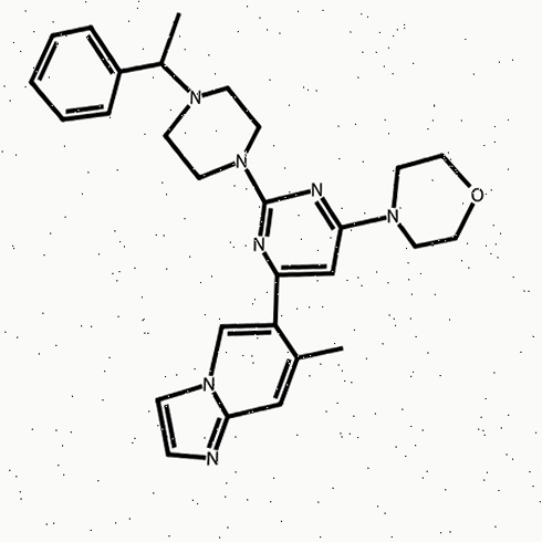 Cc1cc2nccn2cc1-c1cc(N2CCOCC2)nc(N2CCN(C(C)c3ccccc3)CC2)n1